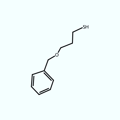 SCCCOCc1ccccc1